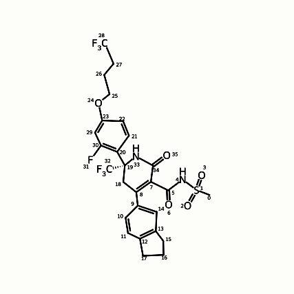 CS(=O)(=O)NC(=O)C1=C(c2ccc3c(c2)CCC3)C[C@](c2ccc(OCCCC(F)(F)F)cc2F)(C(F)(F)F)NC1=O